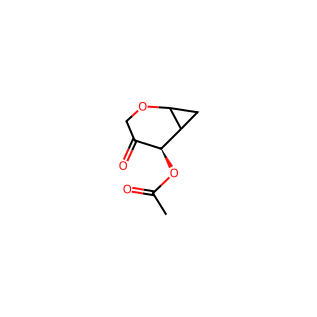 CC(=O)O[C@H]1C(=O)COC2CC21